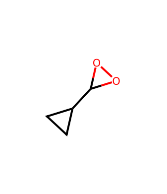 C1CC1C1OO1